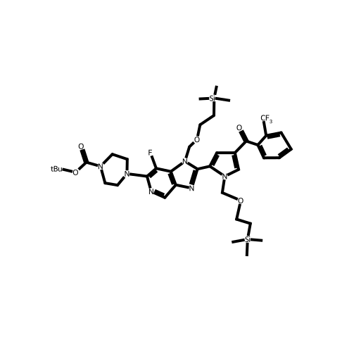 CC(C)(C)OC(=O)N1CCN(c2ncc3nc(-c4cc(C(=O)c5ccccc5C(F)(F)F)cn4COCC[Si](C)(C)C)n(COCC[Si](C)(C)C)c3c2F)CC1